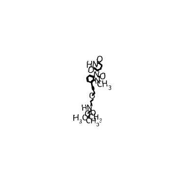 Cn1c(=O)n(C2CCC(=O)NC2=O)c2cccc(C#CCOCCCNC(=O)OC(C)(C)C)c21